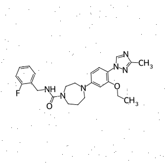 CCOc1cc(N2CCCN(C(=O)NCc3ccccc3F)CC2)ccc1-n1cnc(C)n1